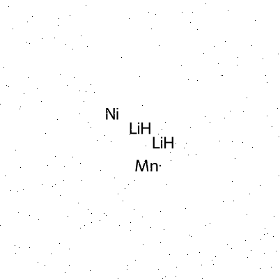 [LiH].[LiH].[Mn].[Ni]